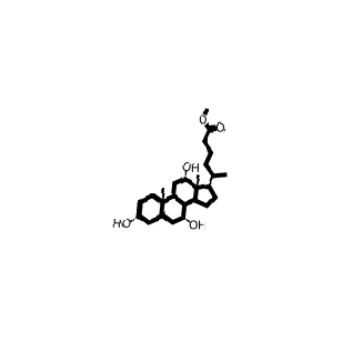 COC(=O)CCCC(C)[C@H]1CCC2C3C(C[C@H](O)[C@@]21C)[C@@]1(C)CC[C@@H](O)CC1C[C@H]3O